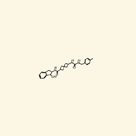 Cc1ccc(CNC(=O)NC2CC3(C2)CC(C(=O)NC2Cc4ccccc4C2O)C3)cc1